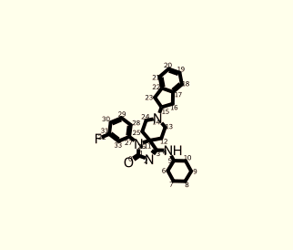 O=C1N=C(NC2CCCCC2)C2(CCN(C3Cc4ccccc4C3)CC2)N1c1cccc(F)c1